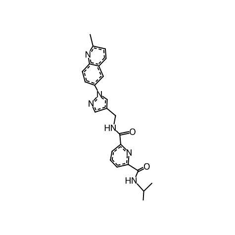 Cc1ccc2cc(-n3cc(CNC(=O)c4cccc(C(=O)NC(C)C)n4)cn3)ccc2n1